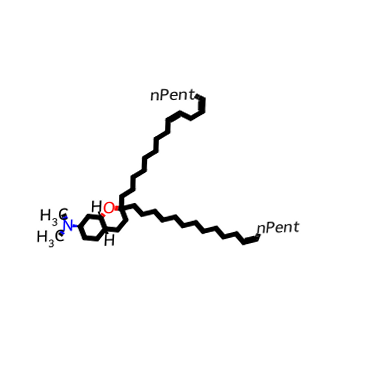 CCCCC/C=C\C/C=C\CCCCCCCCC1(CCCCCCCCCCC/C=C\CCCCC)CC[C@@H]2CC[C@@H](N(C)C)C[C@H]2O1